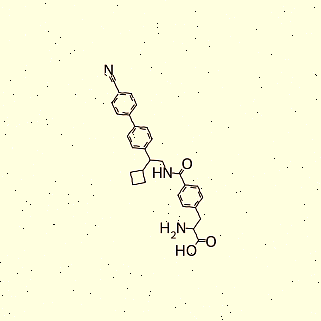 N#Cc1ccc(-c2ccc(C(CNC(=O)c3ccc(CC(N)C(=O)O)cc3)C3CCC3)cc2)cc1